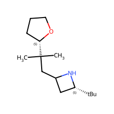 CC(C)(C)[C@@H]1CC(CC(C)(C)[C@@H]2CCCO2)N1